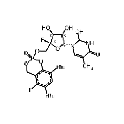 CC1=CN([C@@H]2O[C@](F)(COP3(=O)OCc4c(F)c(C(C)(C)C)cc(C(C)(C)C)c4O3)[C@@H](O)[C@H]2O)C(O)NC1=O